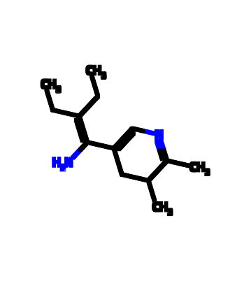 CCC(CC)=C(N)C1=CN=C(C)C(C)C1